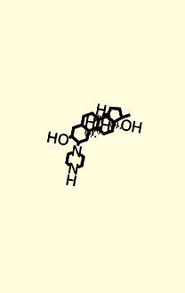 CC1(O)CC[C@H]2[C@@H]3CCC4CC(O)C(N5CCNCC5)C[C@]4(C)[C@@H]3CC[C@@]21C